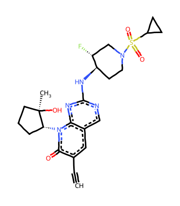 C#Cc1cc2cnc(N[C@@H]3CCN(S(=O)(=O)C4CC4)C[C@H]3F)nc2n([C@@H]2CCC[C@@]2(C)O)c1=O